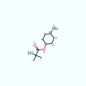 CCC(C)(C)C(=O)OC1CCC(C(C)(C)C)CC1